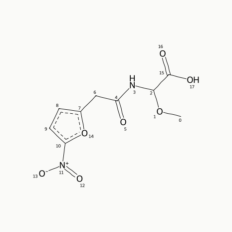 COC(NC(=O)Cc1ccc([N+](=O)[O-])o1)C(=O)O